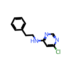 Clc1cc(NCCc2ccccc2)ncn1